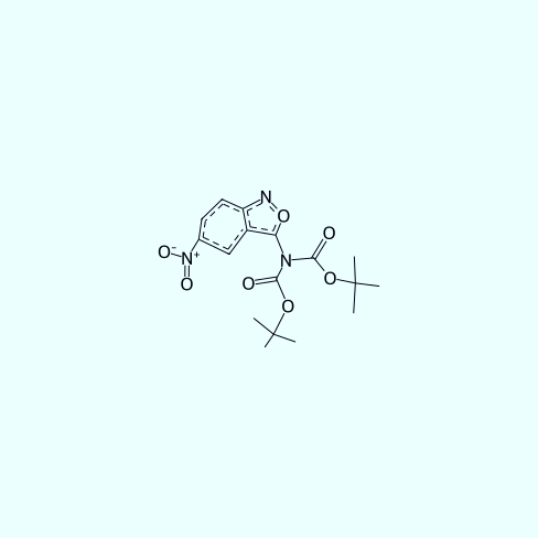 CC(C)(C)OC(=O)N(C(=O)OC(C)(C)C)c1onc2ccc([N+](=O)[O-])cc12